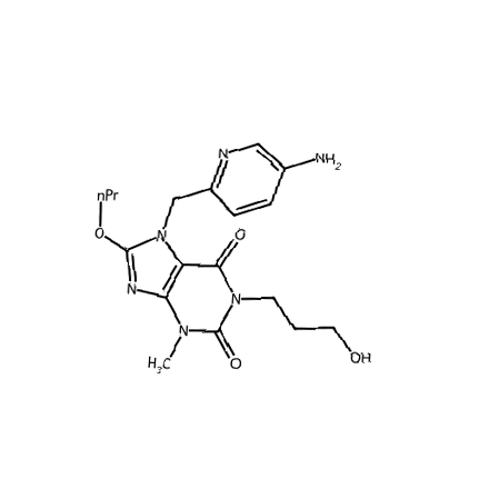 CCCOc1nc2c(c(=O)n(CCCO)c(=O)n2C)n1Cc1ccc(N)cn1